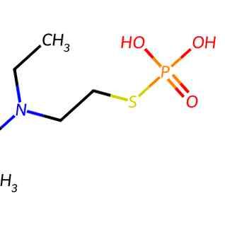 CCN(CC)CCSP(=O)(O)O